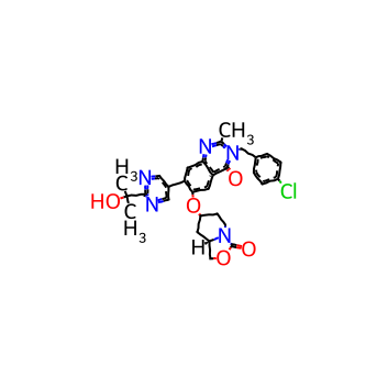 Cc1nc2cc(-c3cnc(C(C)(C)O)nc3)c(O[C@H]3CCN4C(=O)OC[C@@H]4C3)cc2c(=O)n1Cc1ccc(Cl)cc1